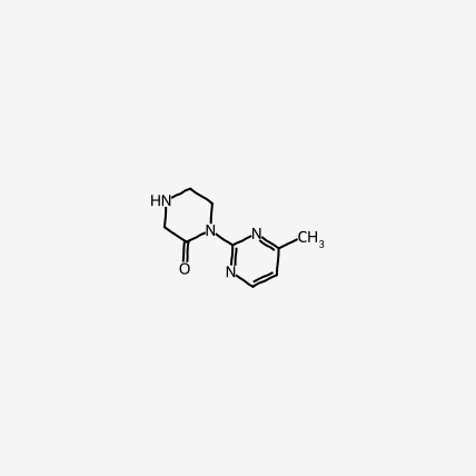 Cc1ccnc(N2CCNCC2=O)n1